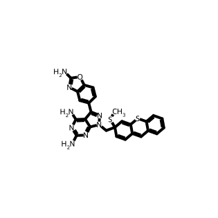 CSC1(Cn2nc(-c3ccc4oc(N)nc4c3)c3c(N)nc(N)nc32)C=CC2=Cc3ccccc3SC2=C1